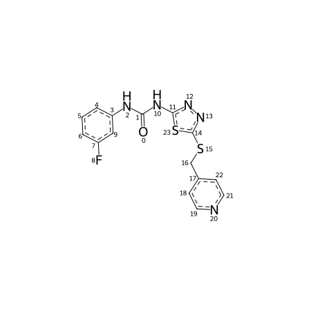 O=C(Nc1cccc(F)c1)Nc1nnc(SCc2ccncc2)s1